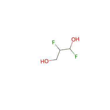 OCC(F)C(O)F